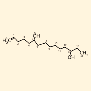 C=CCCCC(O)CCCCCCC(O)CC